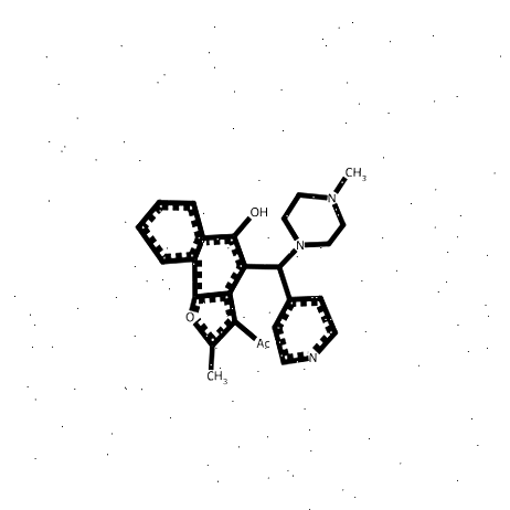 CC(=O)c1c(C)oc2c1c(C(c1ccncc1)N1CCN(C)CC1)c(O)c1ccccc12